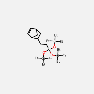 CC[Si](CC)(CC)O[Si](CCC1CC2C=CC1C2)(O[Si](CC)(CC)CC)O[Si](CC)(CC)CC